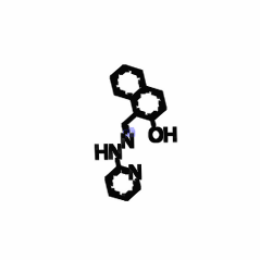 Oc1ccc2ccccc2c1/C=N/Nc1ccccn1